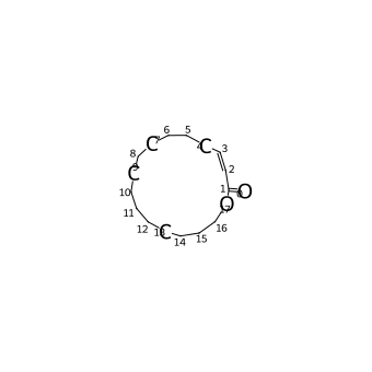 O=C1/C=C\CCCCCCCCCCCCCO1